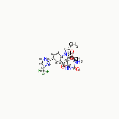 C[C@@H]1CN2c3ccc(-c4nccc(C(F)(F)F)n4)cc3CC3(C(=O)NC(=O)NC3=O)[C@H]2[C@H](C)O1